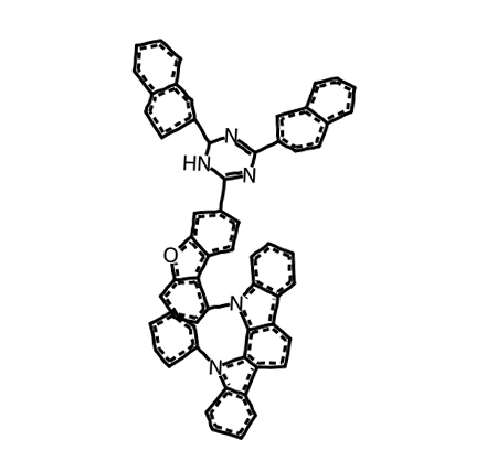 c1ccc(-n2c3ccccc3c3ccc4c5ccccc5n(-c5cccc6oc7cc(C8=NC(c9ccc%10ccccc%10c9)=NC(c9ccc%10ccccc%10c9)N8)ccc7c56)c4c32)cc1